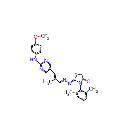 CC(C=N/N=C1\SCC(=O)N1c1c(C)cccc1C)=Cc1cnc(Nc2ccc(OC(F)(F)F)cc2)nc1